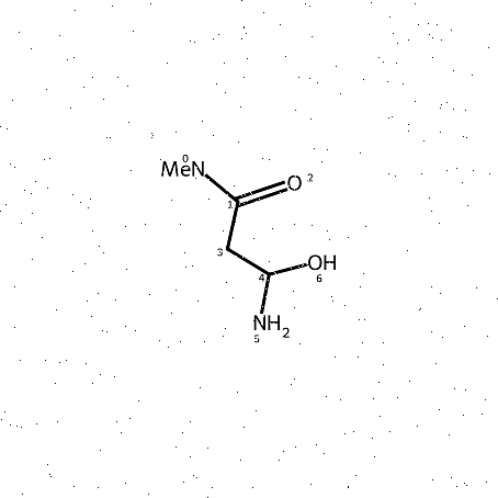 CNC(=O)CC(N)O